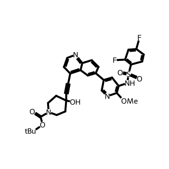 COc1ncc(-c2ccc3nccc(C#CC4(O)CCN(C(=O)OC(C)(C)C)CC4)c3c2)cc1NS(=O)(=O)c1ccc(F)cc1F